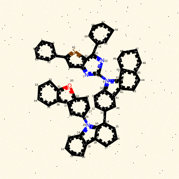 c1ccc(-c2cc3nc(-n4c5ccc(-c6cccc7c8ccccc8n(-c8ccc9oc%10ccccc%10c9c8)c67)cc5c5ccc6ccccc6c54)nc(-c4ccccc4)c3s2)cc1